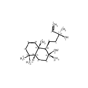 C=C[C@@](C)(O)CC[C@@H]1[C@@]2(C)CCCC(C)(C)[C@H]2CC[C@@]1(C)O